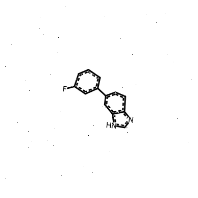 Fc1cccc(-c2ccc3n[c][nH]c3c2)c1